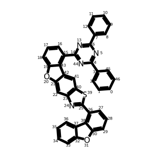 c1ccc(-c2nc(-c3ccccc3)nc(-c3cccc4oc5cc6nc(-c7cccc8oc9ccccc9c78)sc6cc5c34)n2)cc1